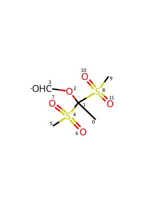 CC(O[C]=O)(S(C)(=O)=O)S(C)(=O)=O